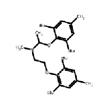 Cc1cc(C(C)(C)C)c(OCCN(C)C(C)Oc2c(C(C)(C)C)cc(C)cc2C(C)(C)C)c(C(C)(C)C)c1